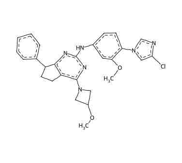 COc1cc(Nc2nc3c(c(N4CC(OC)C4)n2)CCC3c2ccccc2)ccc1-n1cnc(Cl)c1